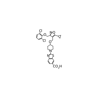 O=C(O)c1ccc2nc(N3CCC(OCc4c(COc5c(Cl)cccc5Cl)noc4C4CC4)CC3)sc2c1